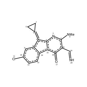 CNc1nc2c(=C3CC3)c3cc(Cl)ccc3n2c(=O)c1C=N